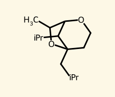 CC(C)CC12CCOC(C(C)O1)C2C(C)C